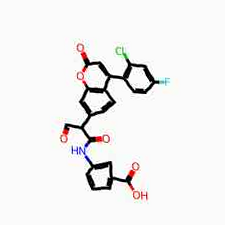 O=CC(C(=O)Nc1cccc(C(=O)O)c1)c1ccc2c(-c3ccc(F)cc3Cl)cc(=O)oc2c1